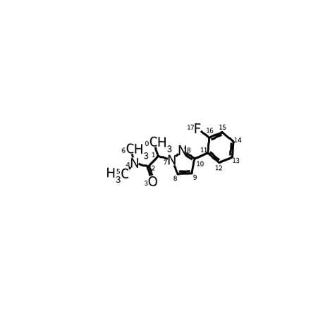 CC(C(=O)N(C)C)n1ccc(-c2ccccc2F)n1